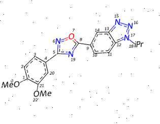 COc1ccc(-c2noc(-c3ccc4c(c3)nnn4C(C)C)n2)cc1OC